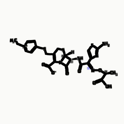 CC[n+]1ccc(SCC2=C(C(=O)[O-])N3C(=O)[C@@H](NC(=O)/C(=N/O[C@@H](C)C(=O)O)c4csc(N)n4)[C@H]3SC2)cc1